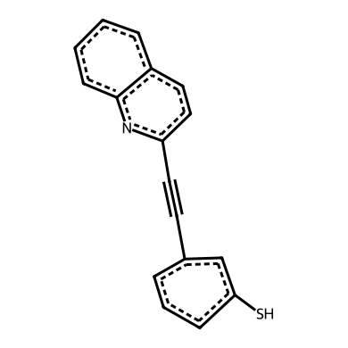 Sc1cccc(C#Cc2ccc3ccccc3n2)c1